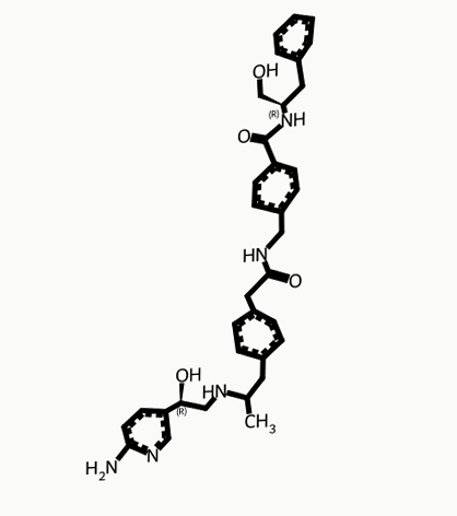 CC(Cc1ccc(CC(=O)NCc2ccc(C(=O)N[C@@H](CO)Cc3ccccc3)cc2)cc1)NC[C@H](O)c1ccc(N)nc1